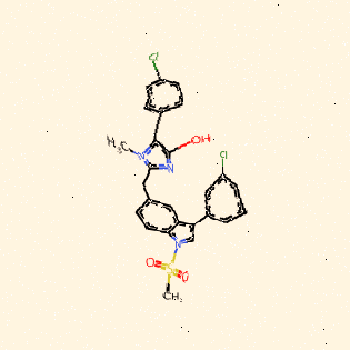 Cn1c(Cc2ccc3c(c2)c(-c2cccc(Cl)c2)cn3S(C)(=O)=O)nc(O)c1-c1ccc(Cl)cc1